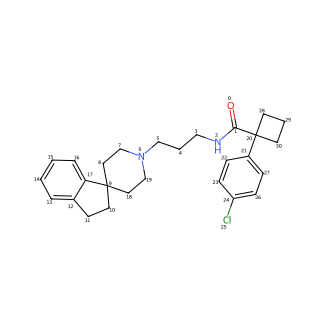 O=C(NCCCN1CCC2(CCc3ccccc32)CC1)C1(c2ccc(Cl)cc2)CCC1